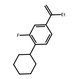 C=C(CC)c1ccc(C2CCCCC2)c(F)c1